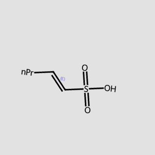 CCC/C=C/S(=O)(=O)O